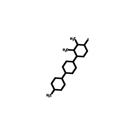 CC1CCC(C2CCC(C3CCC(I)C(C)C3C)CC2)CC1